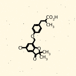 CC(Cc1ccc(OCc2cc(Cl)cc3c2OC(C)(C)C3=O)cc1)C(=O)O